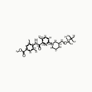 COC(=O)c1cc(C)c(NC(=O)c2nc(N3CCCC(CO[Si](C)(C)C(C)(C)C)C3)ccc2C)c(C)c1